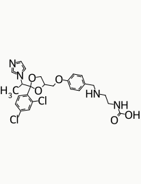 CC(n1ccnc1)C1(c2ccc(Cl)cc2Cl)OCC(COc2ccc(CNCCNC(=O)O)cc2)O1